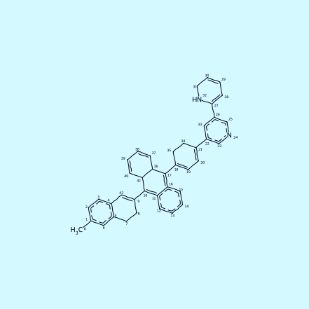 Cc1ccc2c(c1)CCC(C1=c3ccccc3=C(C3=CC=C(c4cncc(C5=CC=CCN5)c4)CC3)C3C=CC=CC13)=C2